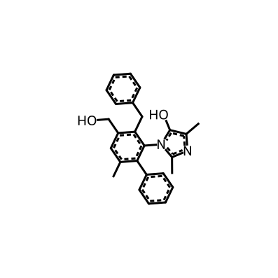 Cc1cc(CO)c(Cc2ccccc2)c(-n2c(C)nc(C)c2O)c1-c1ccccc1